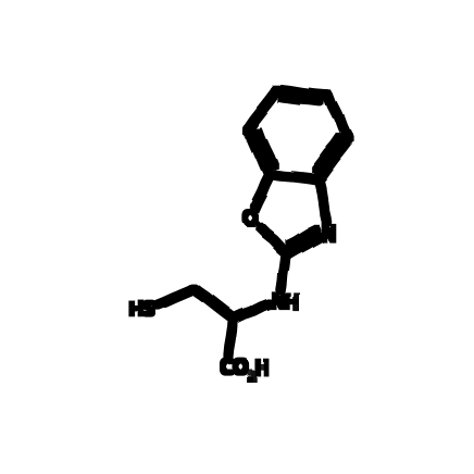 O=C(O)C(CS)Nc1nc2ccccc2o1